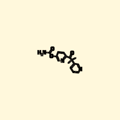 CC(C)(C(=O)c1ccc(OC(N)=O)cn1)c1cccnc1